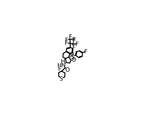 O=C(N[C@@H]1CC[C@@]2(S(=O)(=O)c3ccc(F)cc3)c3ccc(C(F)(C(F)(F)F)C(F)(F)F)cc3CC[C@@H]12)C1(F)CCSCC1